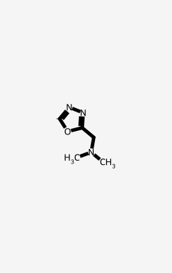 CN(C)Cc1nn[c]o1